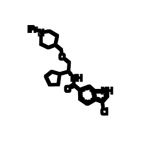 CC(C)N1CCC(COCC(NC(=O)c2ccc3c(Cl)c[nH]c3c2)C2CCCC2)CC1